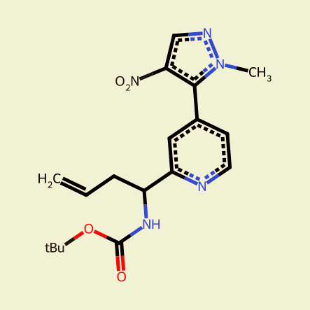 C=CCC(NC(=O)OC(C)(C)C)c1cc(-c2c([N+](=O)[O-])cnn2C)ccn1